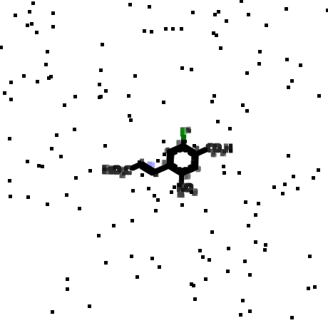 CCOC(=O)/C=C/c1cc(F)c(C(=O)O)cc1[N+](=O)[O-]